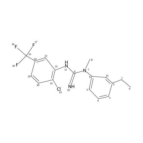 CCc1cccc(N(C)C(=N)Nc2cc(C(F)(F)F)ccc2Cl)c1